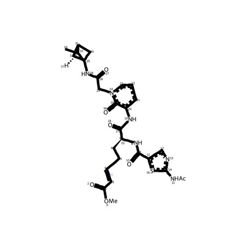 COC(=O)/C=C/CC[C@H](NC(=O)c1cnc(NC(C)=O)s1)C(=O)Nc1cccn(CC(=O)NC23CC(C2)[C@@H]3C)c1=O